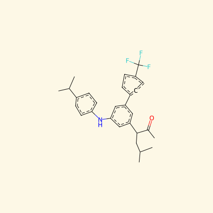 CC(=O)C(CC(C)C)c1cc(Nc2ccc(C(C)C)cc2)cc(-c2ccc(C(F)(F)F)cc2)c1